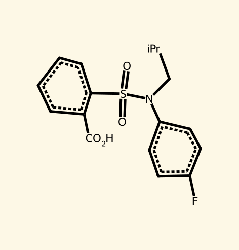 CC(C)CN(c1ccc(F)cc1)S(=O)(=O)c1ccccc1C(=O)O